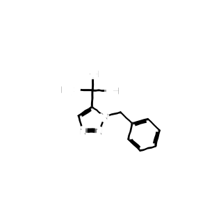 CC(C)(O)c1cnnn1Cc1ccccc1